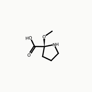 CO[C@]1(C(=O)O)CCCN1